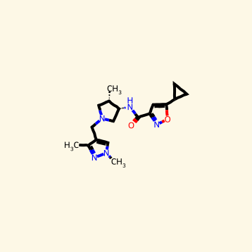 Cc1nn(C)cc1CN1C[C@H](C)[C@H](NC(=O)c2cc(C3CC3)on2)C1